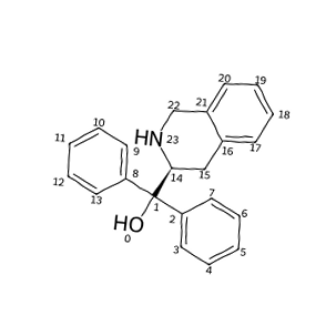 OC(c1ccccc1)(c1ccccc1)[C@@H]1Cc2ccccc2CN1